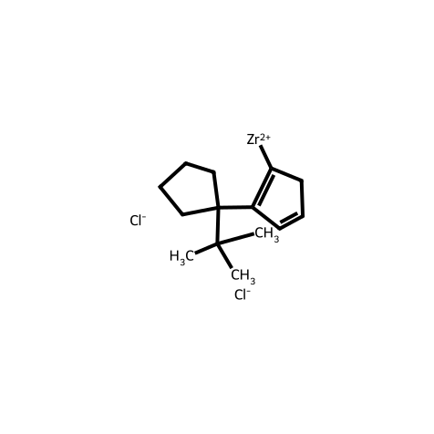 CC(C)(C)C1(C2=[C]([Zr+2])CC=C2)CCCC1.[Cl-].[Cl-]